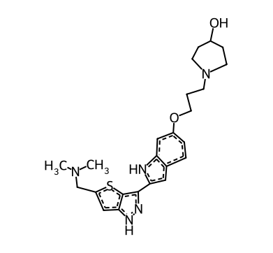 CN(C)Cc1cc2[nH]nc(-c3cc4ccc(OCCCN5CCC(O)CC5)cc4[nH]3)c2s1